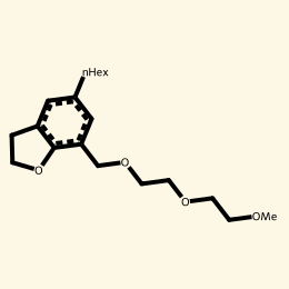 CCCCCCc1cc2c(c(COCCOCCOC)c1)OCC2